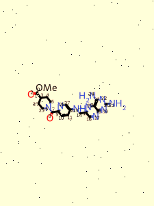 COC(=O)C1CCN(C(=O)c2ccc(NCc3cnc4nc(N)nc(N)c4n3)cn2)CC1